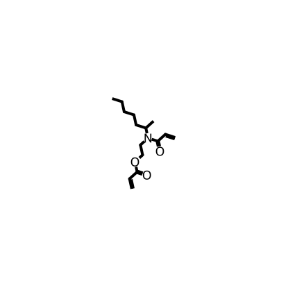 C=CC(=O)OCCN(C(=O)C=C)C(C)CCCCC